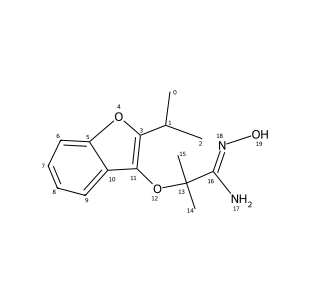 CC(C)c1oc2ccccc2c1OC(C)(C)C(N)=NO